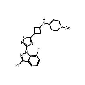 CC(=O)N1CCC(NC2CC(c3nc(-n4nc(C(C)C)c5cccc(F)c54)no3)C2)CC1